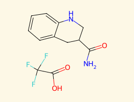 NC(=O)C1CNc2ccccc2C1.O=C(O)C(F)(F)F